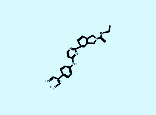 C=C(NCC)N1Cc2ccc(-c3nccc(Nc4ccc(/C(C=N)=C/N)cc4)n3)cc2C1